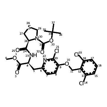 COC(=O)[C@H](Cc1ccc(OCc2c(Cl)cccc2Cl)c(Cl)n1)NC(=O)[C@H]1CSCN1C(=O)OC(C)(C)C